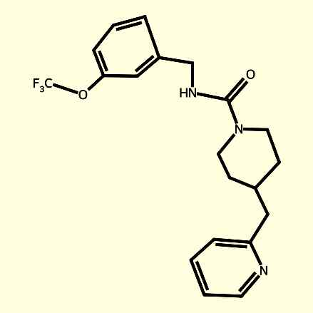 O=C(NCc1cccc(OC(F)(F)F)c1)N1CCC(Cc2ccccn2)CC1